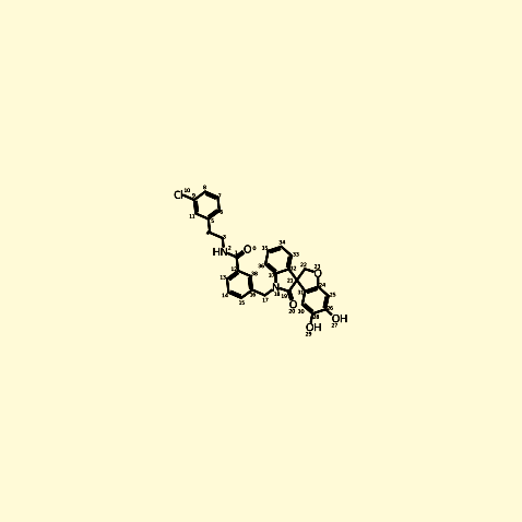 O=C(NCCc1cccc(Cl)c1)c1cccc(CN2C(=O)C3(COc4cc(O)c(O)cc43)c3ccccc32)c1